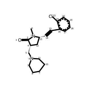 CN1C(=O)[C@@H](CN2CCCCC2)C[C@H]1C#Cc1ccccc1Cl